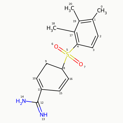 Cc1ccc(S(=O)(=O)C2[CH]C=C(C(=N)N)C=C2)c(C)c1C